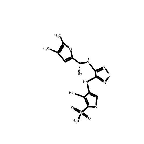 Cc1cc([C@H](Nc2nsnc2Nc2csc(S(N)(=O)=O)c2O)C(C)C)oc1C